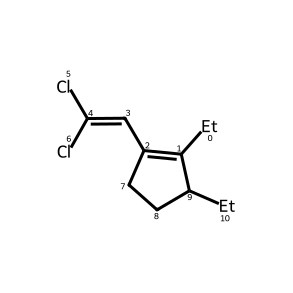 CCC1=C(C=C(Cl)Cl)CCC1CC